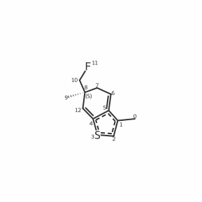 Cc1csc2c1=CC[C@](C)(CF)C=2